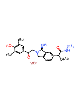 Br.COC(C(=O)NN)c1ccc2c(c1)C(=N)N(CC(=O)c1cc(C(C)(C)C)c(O)c(C(C)(C)C)c1)C2